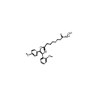 COc1ccc(-c2oc(CCCCCCC(=O)NO)nc2-c2ccccc2OC)cc1